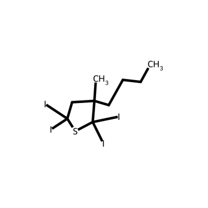 CCCCC1(C)CC(I)(I)SC1(I)I